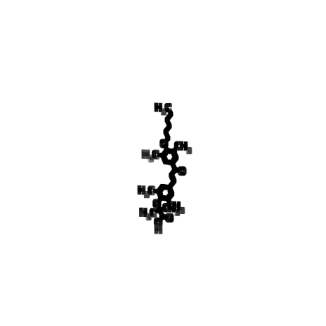 CCCCCCOc1c(C)cc(C(=O)/C=C/c2cc(C)c(OC(C)(C)C(=O)O)c(C)c2)cc1C